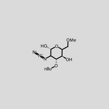 CCCCO[C@@H]1C(N=[N+]=[N-])[C@H](O)OC(COC)[C@H]1O